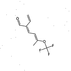 C=C/C(C=O)=C\C=C(/C)OC(F)(F)F